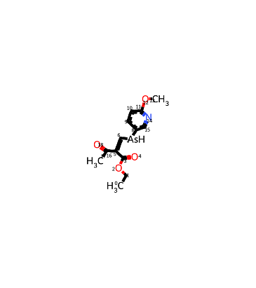 CCOC(=O)C(=C[AsH]c1ccc(OC)nc1)C(C)=O